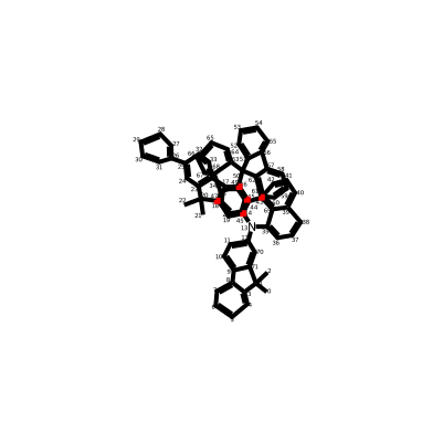 CC1(C)c2ccccc2-c2ccc(N(c3ccc4c(c3)C(C)(C)c3cc(-c5ccccc5)ccc3-4)c3cccc4cccc(-c5cccc6c5C5(c7ccccc7-c7ccccc75)c5ccccc5-6)c34)cc21